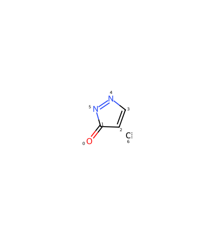 O=C1C=CN=N1.[C]